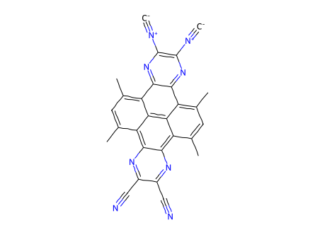 [C-]#[N+]c1nc2c(nc1[N+]#[C-])c1c(C)cc(C)c3c4nc(C#N)c(C#N)nc4c4c(C)cc(C)c2c4c31